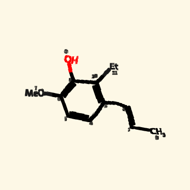 CC=Cc1ccc(OC)c(O)c1CC